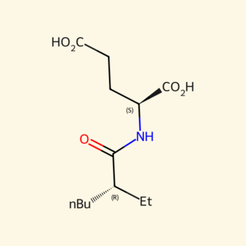 CCCC[C@@H](CC)C(=O)N[C@@H](CCC(=O)O)C(=O)O